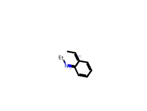 C/C=C1/C=CC=C/C1=N/CC